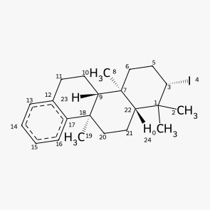 CC1(C)[C@@H](I)CC[C@]2(C)[C@H]3CCc4ccccc4[C@]3(C)CC[C@@H]12